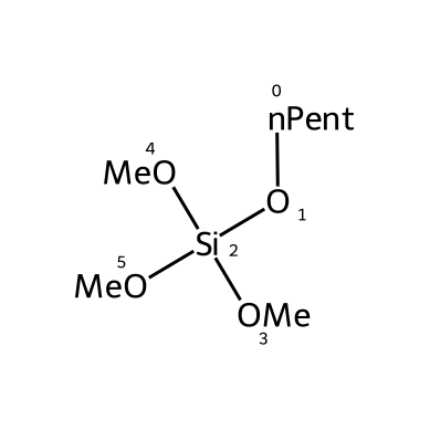 CCCCCO[Si](OC)(OC)OC